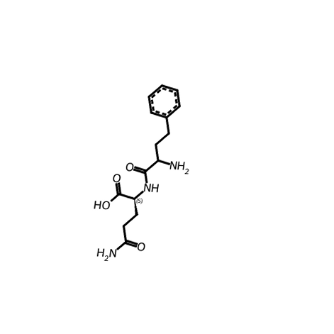 NC(=O)CC[C@H](NC(=O)C(N)CCc1ccccc1)C(=O)O